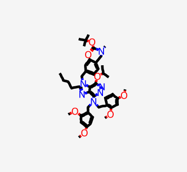 CCCCc1nc2c(N(Cc3ccc(OC)cc3OC)Cc3ccc(OC)cc3OC)nnc(OC(C)C)c2n1Cc1ccc(CN(C)C(=O)OC(C)(C)C)cc1